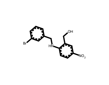 O=[N+]([O-])c1ccc(NCc2cccc(Br)c2)c(CO)c1